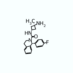 C[C@]1(N)C[C@H](NC(=O)N2CCc3ccccc3[C@@H]2c2ccc(F)cc2)C1